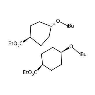 CCOC(=O)[C@H]1CC[C@@H](OC(C)CC)CC1.CCOC(=O)[C@H]1CC[C@H](OC(C)CC)CC1